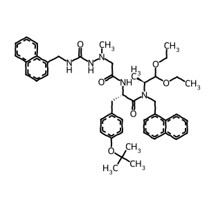 CCOC(OCC)[C@H](C)N(Cc1cccc2ccccc12)C(=O)[C@H](Cc1ccc(OC(C)(C)C)cc1)NC(=O)CN(C)NC(=O)NCc1cccc2ccccc12